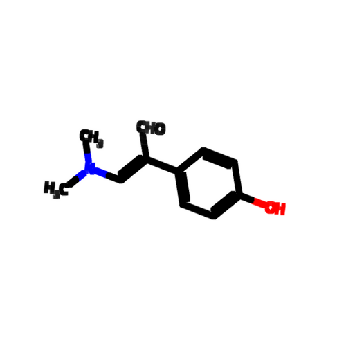 CN(C)C=C(C=O)c1ccc(O)cc1